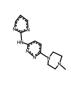 CN1CCN(c2ccc(Nc3n[c]ccn3)nn2)CC1